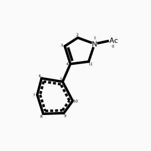 CC(=O)N1CC=C(c2ccccc2)C1